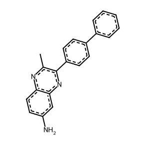 Cc1nc2ccc(N)cc2nc1-c1ccc(-c2ccccc2)cc1